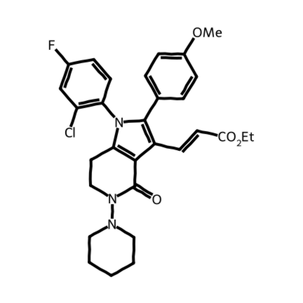 CCOC(=O)C=Cc1c2c(n(-c3ccc(F)cc3Cl)c1-c1ccc(OC)cc1)CCN(N1CCCCC1)C2=O